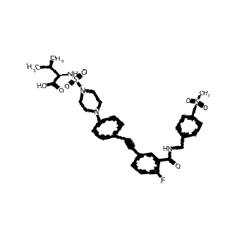 CC(C)[C@@H](NS(=O)(=O)N1CCN(c2ccc(C#Cc3ccc(F)c(C(=O)NCc4ccc(S(C)(=O)=O)cc4)c3)cc2)CC1)C(=O)O